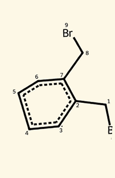 BrCc1[c]cccc1CBr